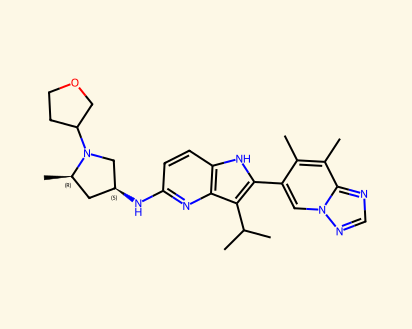 Cc1c(-c2[nH]c3ccc(N[C@H]4C[C@@H](C)N(C5CCOC5)C4)nc3c2C(C)C)cn2ncnc2c1C